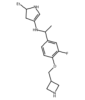 CCC1CC(NC(C)c2ccc(OCC3CNC3)c(F)c2)=CN1